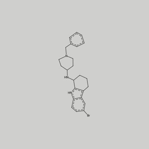 Brc1ccc2[nH]c3c(c2c1)CCCC3NC1CCN(Cc2ccccc2)CC1